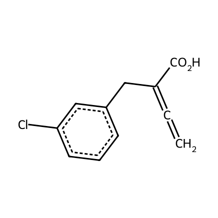 C=C=C(Cc1cccc(Cl)c1)C(=O)O